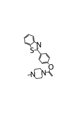 C=C(Oc1ccc(-c2nc3ccccc3s2)cc1)N1CCN(C)CC1